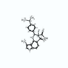 Cc1coc2ccc3c(c12)OC(c1ccc(C(C)C)cc1)C(F)(C(=O)O)C3=O